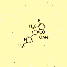 COC(=O)[C@]1(c2cccc(F)c2C)C=C(c2cnc(C)cn2)CC1